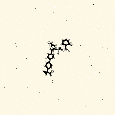 CC(=O)C1(c2ccc(-c3ccc(-c4sc(Cl)cc4NC(=O)O[C@H](C)c4ccccc4F)cc3)cc2)CC1